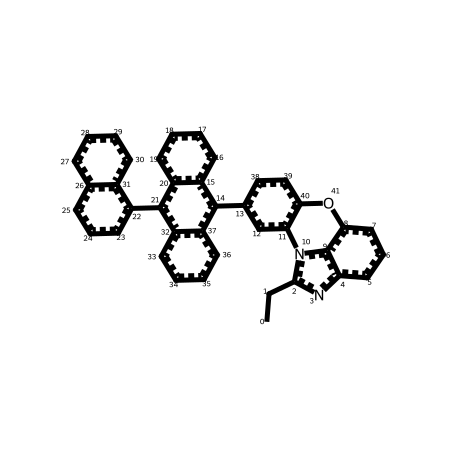 CCc1nc2cccc3c2n1-c1cc(-c2c4ccccc4c(-c4cccc5ccccc45)c4ccccc24)ccc1O3